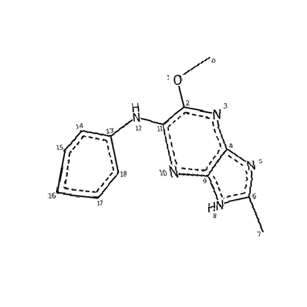 COc1nc2nc(C)[nH]c2nc1Nc1ccccc1